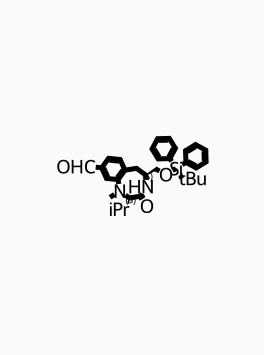 CC(C)[C@H]1C(=O)N[C@H](CO[Si](c2ccccc2)(c2ccccc2)C(C)(C)C)Cc2ccc(C=O)cc2N1C